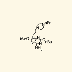 CCCCOc1nc(N)c2nc(OC)n(CCCN3CCN(CCC)CC3)c2n1